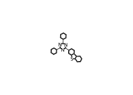 c1ccc(-c2nc(-c3ccccc3)nc(-c3ccc4c(c3)sc3ccccc34)n2)cc1